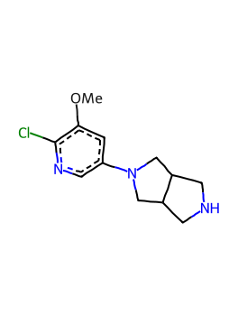 COc1cc(N2CC3CNCC3C2)cnc1Cl